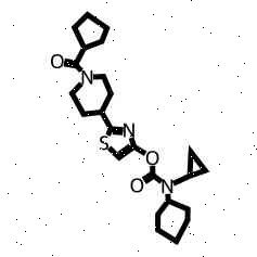 O=C(C1CCCC1)N1CCC(c2nc(OC(=O)N(C3CCCCC3)C3CC3)cs2)CC1